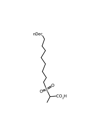 CCCCCCCCCCCCCCCCCCS(=O)(=O)C(C)C(=O)O